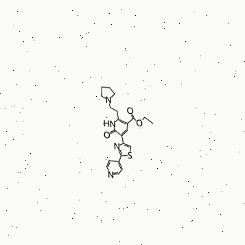 CCOC(=O)c1cc(-c2csc(-c3ccncc3)n2)c(=O)[nH]c1CCN1CCCC1